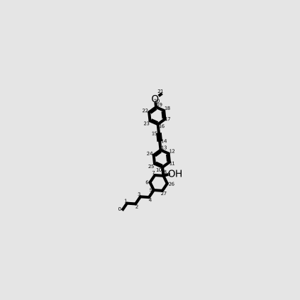 CCCCCC1CCC(O)(c2ccc(C#Cc3ccc(OC)cc3)cc2)CC1